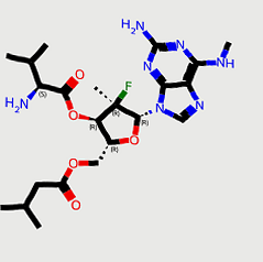 CNc1nc(N)nc2c1ncn2[C@@H]1O[C@H](COC(=O)CC(C)C)[C@@H](OC(=O)[C@@H](N)C(C)C)[C@@]1(C)F